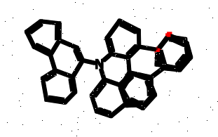 c1ccc(-c2ccccc2-c2c(-c3ccccc3)cccc2N(c2cccc3ccccc23)c2cc3ccccc3c3ccccc23)cc1